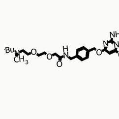 CN(CCOCCOCC(=O)NCc1ccc(COc2cc(Cl)nc(N)n2)cc1)C(C)(C)C